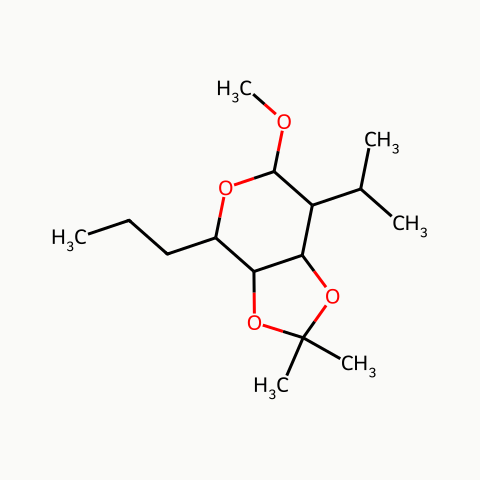 CCCC1OC(OC)C(C(C)C)C2OC(C)(C)OC12